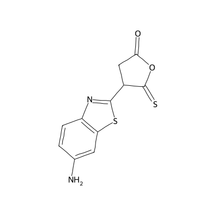 Nc1ccc2nc(C3CC(=O)OC3=S)sc2c1